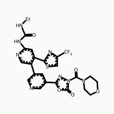 CCNC(=O)Nc1cc(-c2nc(C(F)(F)F)cs2)c(-c2cncc(-c3nn(C(=O)N4CCOCC4)c(=O)o3)c2)cn1